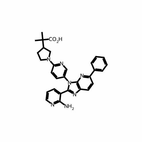 CC(C)(C(=O)O)C1CCN(c2ccc(-n3c(-c4cccnc4N)nc4ccc(-c5ccccc5)nc43)cn2)C1